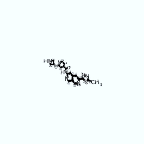 Cc1nnc(-c2cc3cc(NC(=O)c4ccnc(OC5CNC5)c4)ncc3cn2)s1